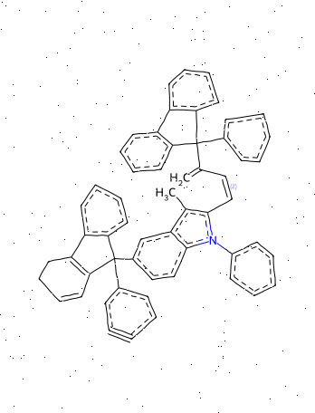 C=C(/C=C\c1c(C)c2cc(C3(c4cc#ccc4)C4=C(CCC=C4)c4ccccc43)ccc2n1-c1ccccc1)C1(c2ccccc2)c2ccccc2-c2ccccc21